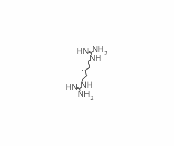 N=C(N)NCC[CH]CCNC(=N)N